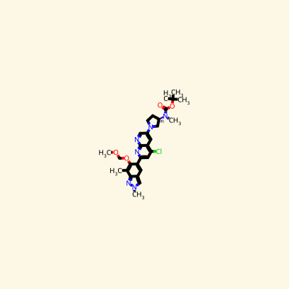 COCOc1c(-c2cc(Cl)c3cc(N4CC[C@@H](N(C)C(=O)OC(C)(C)C)C4)cnc3n2)cc2cn(C)nc2c1C